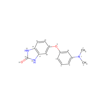 CN(C)c1cccc(Oc2ccc3[nH]c(=O)[nH]c3c2)c1